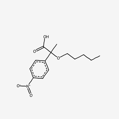 CCCCCOC(C)(C(=O)O)c1ccc([N+](=O)[O-])cc1